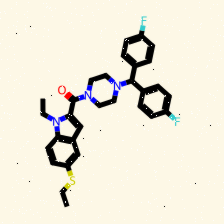 CCSc1ccc2c(c1)cc(C(=O)N1CCN(C(c3ccc(F)cc3)c3ccc(F)cc3)CC1)n2CC